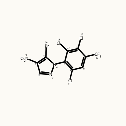 O=[N+]([O-])c1cnn(-c2c(Cl)cc(C(F)(F)F)c(Cl)c2Cl)c1Br